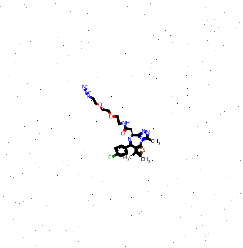 Cc1sc2c(c1C)C(c1ccc(Cl)cc1)=N[C@@H](CC(=O)NCCOCCOCCN=[N+]=[N-])c1nnc(C)n1-2